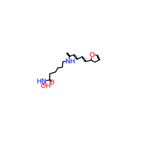 C=C(/C=C/C=C/C1CC=CO1)NCCCCCC(=O)NO